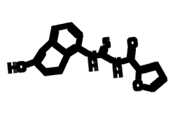 O=C(NC(=S)Nc1cccc2cc(O)ccc12)c1ccco1